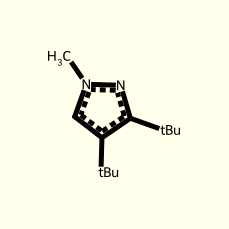 Cn1cc(C(C)(C)C)c(C(C)(C)C)n1